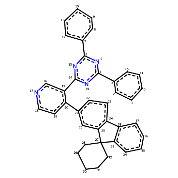 c1ccc(-c2nc(-c3ccccc3)nc(-c3cnccc3-c3ccc4c(c3)C3(CCCCC3)c3ccccc3-4)n2)cc1